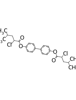 CC(C)CC(Cl)C(=O)Oc1ccc(-c2ccc(OC(=O)C(Cl)CC(C)C)cc2)cc1